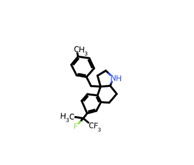 Cc1ccc(CC23CCNC2CCc2cc(C(C)(F)C(F)(F)F)ccc23)cc1